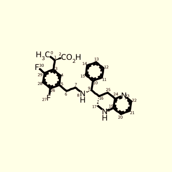 C[C@@H](C(=O)O)c1cc(CCN[C@H](c2ccccc2)[C@H]2CNc3cccnc3C2)c(F)cc1F